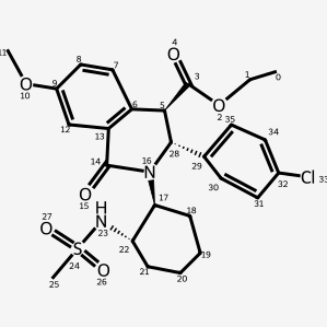 CCOC(=O)[C@@H]1c2ccc(OC)cc2C(=O)N([C@H]2CCCC[C@@H]2NS(C)(=O)=O)[C@H]1c1ccc(Cl)cc1